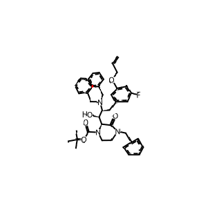 C=CCOc1cc(F)cc(C[C@@H]([C@H](O)[C@H]2C(=O)N(Cc3ccccc3)CCN2C(=O)OC(C)(C)C)N(Cc2ccccc2)Cc2ccccc2)c1